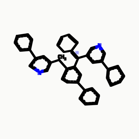 CC(c1cncc(-c2ccccc2)c1)c1ccc(-c2ccccc2)cc1/C(=C1/C=CC=CC1)c1cncc(-c2ccccc2)c1